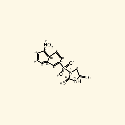 O=C1CN(S(=O)(=O)c2ccc3c([N+](=O)[O-])cccc3c2)C(=S)N1